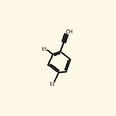 C#Cc1ccc(CC)cc1CC